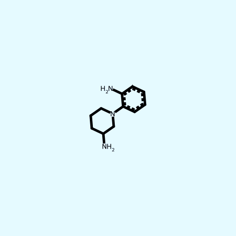 Nc1[c]cccc1N1CCCC(N)C1